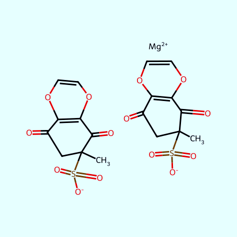 CC1(S(=O)(=O)[O-])CC(=O)C2=C(OC=CO2)C1=O.CC1(S(=O)(=O)[O-])CC(=O)C2=C(OC=CO2)C1=O.[Mg+2]